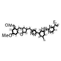 COc1ccc(CN2CC(Cn3cc(-c4cc(C)cc(Nc5nccc(C(F)F)n5)c4)nn3)CC2=O)c(OC)c1